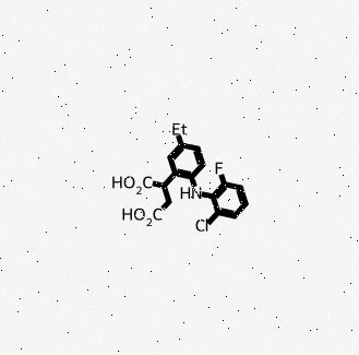 CCc1ccc(Nc2c(F)cccc2Cl)c(C(CC(=O)O)C(=O)O)c1